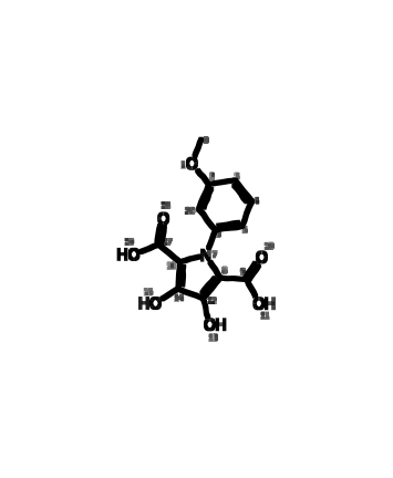 COc1cccc(-n2c(C(=O)O)c(O)c(O)c2C(=O)O)c1